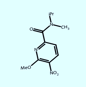 COc1nc(C(=O)N(C)C(C)C)ccc1[N+](=O)[O-]